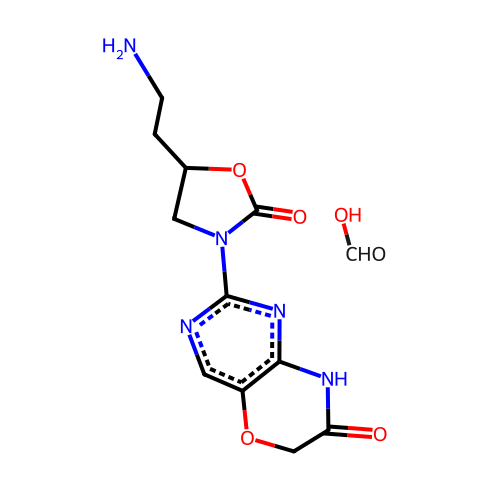 NCCC1CN(c2ncc3c(n2)NC(=O)CO3)C(=O)O1.O=CO